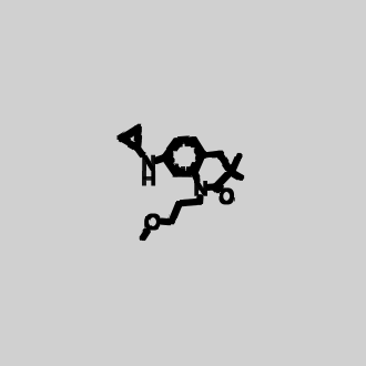 COCCCN1C(=O)C(C)(C)Cc2ccc(NC3CC3)cc21